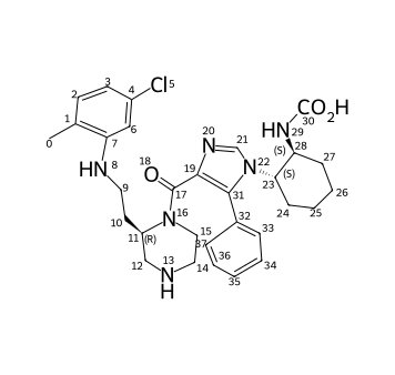 Cc1ccc(Cl)cc1NCC[C@@H]1CNCCN1C(=O)c1ncn([C@H]2CCCC[C@@H]2NC(=O)O)c1-c1ccccc1